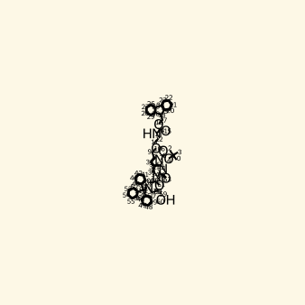 CC(C)(C)OC(=O)n1c(COCCNC(=O)OCC2c3ccccc3-c3ccccc32)cc2cn([C@@H]3CN(C(c4ccccc4)(c4ccccc4)c4ccccc4)C[C@@H](CO)O3)c(=O)nc21